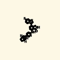 O=C1NCc2c(-c3cnc4cc(F)ccn34)ccc(Nc3ccc(N4C[C@H]5CC[C@@H](C4)[C@@H]5O)cn3)c21